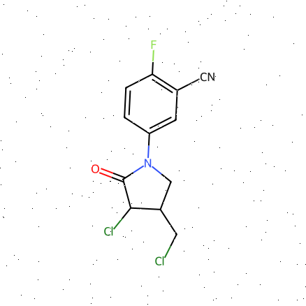 N#Cc1cc(N2CC(CCl)C(Cl)C2=O)ccc1F